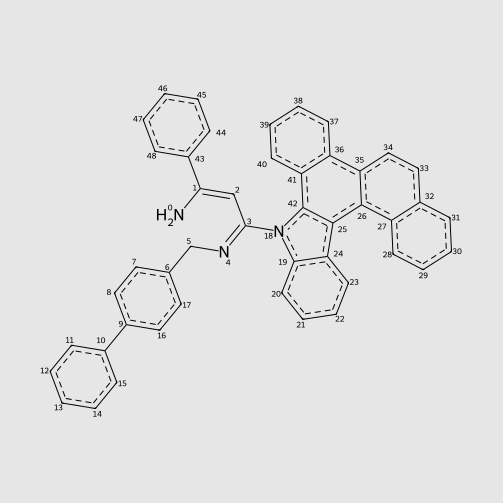 N/C(=C\C(=N/Cc1ccc(-c2ccccc2)cc1)n1c2ccccc2c2c3c4ccccc4ccc3c3ccccc3c21)c1ccccc1